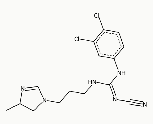 CC1CN(CCCN/C(=N/C#N)Nc2ccc(Cl)c(Cl)c2)C=N1